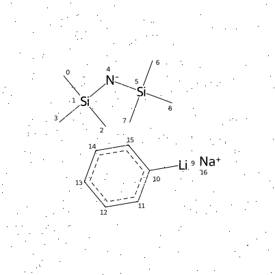 C[Si](C)(C)[N-][Si](C)(C)C.[Li][c]1ccccc1.[Na+]